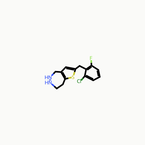 Fc1cccc(Cl)c1Cc1cc2c(s1)CCNNC2